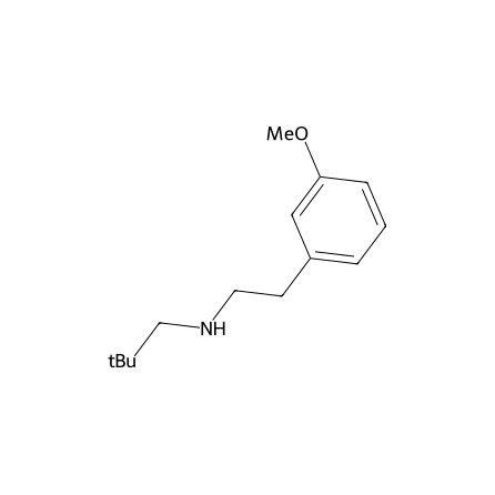 COc1cccc(CCNCC(C)(C)C)c1